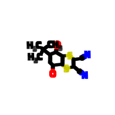 CC(C)(C)c1cc(=O)c2sc(C#N)c(C#N)sc=2c1=O